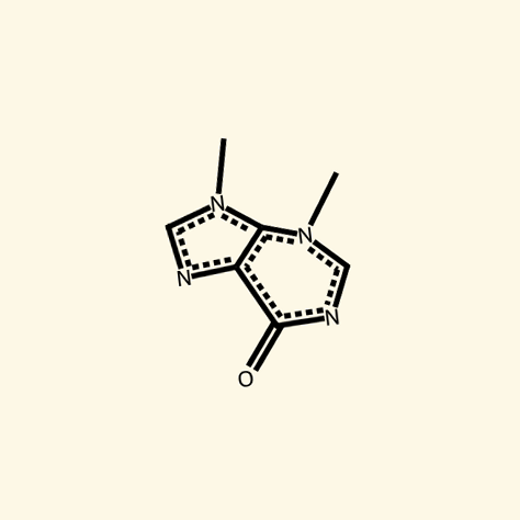 Cn1cnc(=O)c2ncn(C)c21